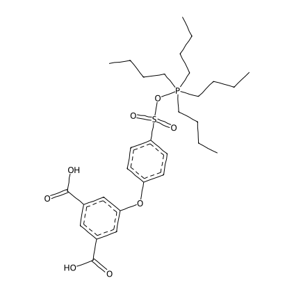 CCCCP(CCCC)(CCCC)(CCCC)OS(=O)(=O)c1ccc(Oc2cc(C(=O)O)cc(C(=O)O)c2)cc1